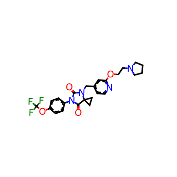 O=C1N(c2ccc(OC(F)(F)F)cc2)C(=O)C2(CC2)N1Cc1ccnc(OCCN2CCCC2)c1